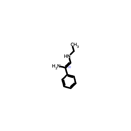 CCN/C=C(\N)c1ccccc1